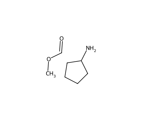 COC=O.NC1CCCC1